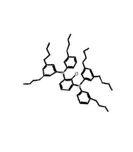 CCCCc1cccc(N(c2cc(CCCC)cc(CCCC)c2)c2cccc(N(c3cccc(CCCC)c3)c3cc(CCCC)cc(CCCC)c3)c2Cl)c1